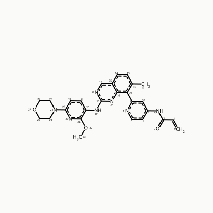 C=CC(=O)Nc1ccnc(-c2c(C)ccc3cnc(Nc4ccc(N5CCOCC5)nc4OC)nc23)c1